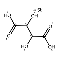 O=C(O)C(O)C(O)C(=O)O.[Sb]